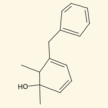 CC1C(Cc2ccccc2)=CC=CC1(C)O